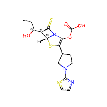 CC[C@H](O)[C@H]1C(=S)N2C(OC(=O)O)=C(C3CCN(c4nccs4)C3)S[C@H]12